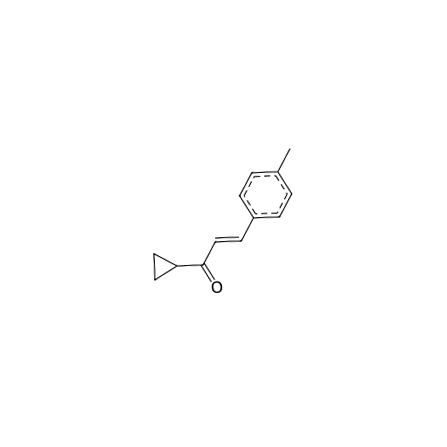 Cc1ccc(C=CC(=O)C2CC2)cc1